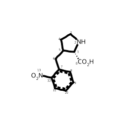 O=C(O)[C@H]1NCCC1Cc1ccccc1[N+](=O)[O-]